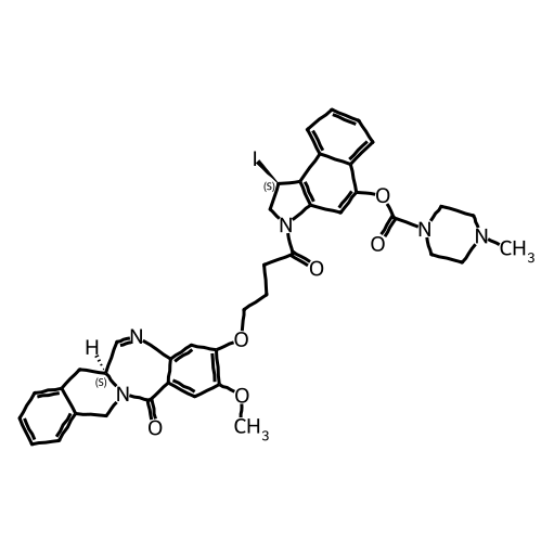 COc1cc2c(cc1OCCCC(=O)N1C[C@@H](I)c3c1cc(OC(=O)N1CCN(C)CC1)c1ccccc31)N=C[C@@H]1Cc3ccccc3CN1C2=O